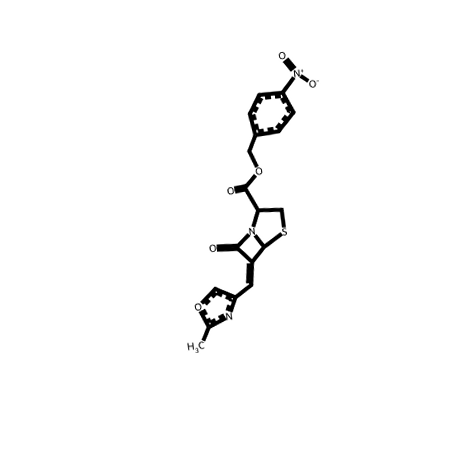 Cc1nc(C=C2C(=O)N3C(C(=O)OCc4ccc([N+](=O)[O-])cc4)CSC23)co1